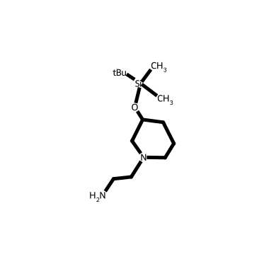 CC(C)(C)[Si](C)(C)OC1CCCN(CCN)C1